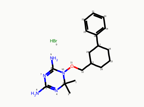 Br.CC1(C)N=C(N)N=C(N)N1OCC1CCCC(c2ccccc2)C1